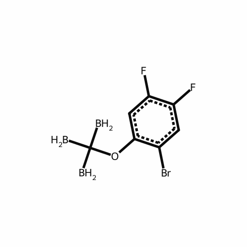 BC(B)(B)Oc1cc(F)c(F)cc1Br